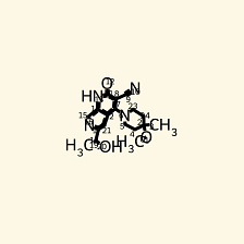 COC1(C)CCN(c2c(C#N)c(=O)[nH]c3cnc(C(C)O)cc23)CC1